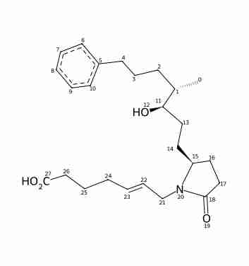 C[C@@H](CCCc1ccccc1)[C@H](O)CC[C@H]1CCC(=O)N1CC=CCCCC(=O)O